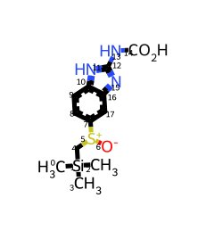 C[Si](C)(C)C[S+]([O-])c1ccc2[nH]c(NC(=O)O)nc2c1